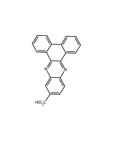 O=C(O)c1ccc2nc3c4ccccc4c4ccccc4c3nc2c1